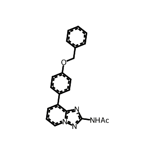 CC(=O)Nc1nc2c(-c3ccc(OCc4ccccc4)cc3)cccn2n1